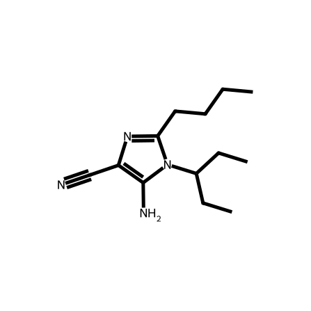 CCCCc1nc(C#N)c(N)n1C(CC)CC